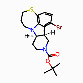 CC(C)(C)OC(=O)N1CC[C@@H]2[C@H](C1)c1c(Br)ccc3c1N2CCCS3